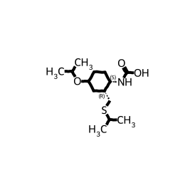 CC(C)OC1CC[C@H](NC(=O)O)[C@H](CSC(C)C)C1